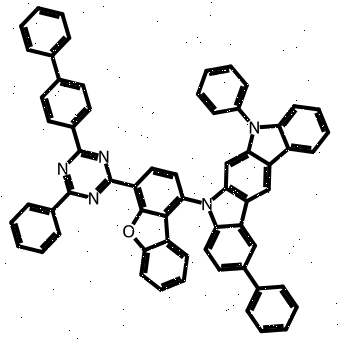 c1ccc(-c2ccc(-c3nc(-c4ccccc4)nc(-c4ccc(-n5c6ccc(-c7ccccc7)cc6c6cc7c8ccccc8n(-c8ccccc8)c7cc65)c5c4oc4ccccc45)n3)cc2)cc1